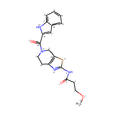 COCCC(=O)Nc1nc2c(s1)CN(C(=O)c1cc3ccccc3[nH]1)CC2